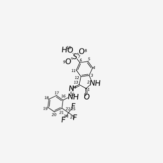 O=C1Nc2ccc(S(=O)(=O)O)cc2C1=NNc1ccccc1C(F)(F)F